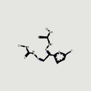 CCNC(=S)N/N=C\C(=N\NC(=S)NCC)c1ccc(Cl)s1